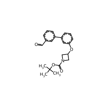 CC(C)(C)OC(=O)N1CC(Oc2cccc(-c3cccc(C=O)c3)c2)C1